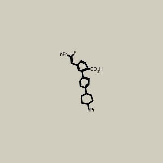 CCCC(F)=Cc1ccc(C(=O)O)c(-c2ccc(C3CCC(CCC)CC3)cc2)c1